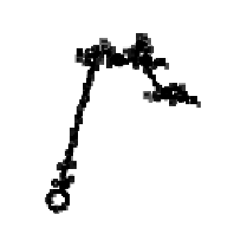 COc1cc2c(cc1OCCCCCOc1cc3c(cc1OC)C(=O)N1C=C(C)C[C@H]1[C@H](O)N3C(=O)OCc1ccc(NC(=O)[C@H](C)NC(=O)[C@@H](NC(=O)CCOCCOCCOCCOCCOCCOCCOCCOCCNC(=O)CCN3C(=O)CC(C4CCCCCCCCCCCC4)C3=O)C(C)C)cc1)N=C[C@@H]1CC(C)=CN1C2=O